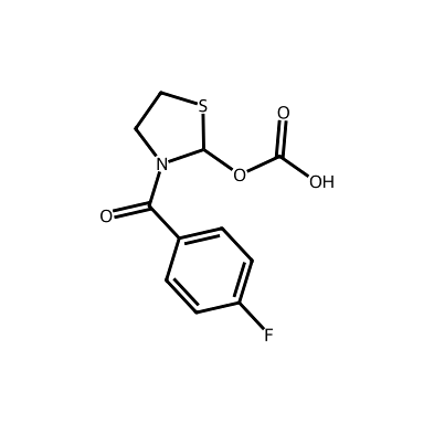 O=C(O)OC1SCCN1C(=O)c1ccc(F)cc1